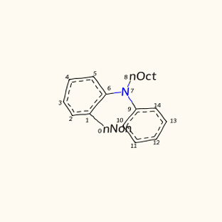 CCCCCCCCCc1ccccc1N(CCCCCCCC)c1ccccc1